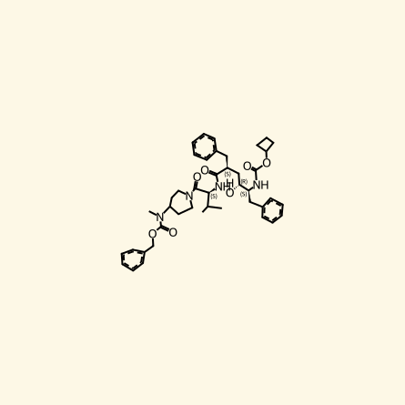 CC(C)[C@H](NC(=O)[C@@H](Cc1ccccc1)C[C@@H](O)[C@H](Cc1ccccc1)NC(=O)OC1CCC1)C(=O)N1CCC(N(C)C(=O)OCc2ccccc2)CC1